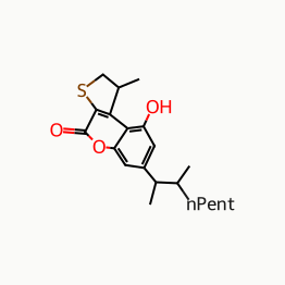 CCCCCC(C)C(C)c1cc(O)c2c3c(c(=O)oc2c1)SCC3C